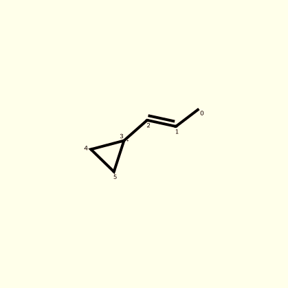 CC=C[C]1CC1